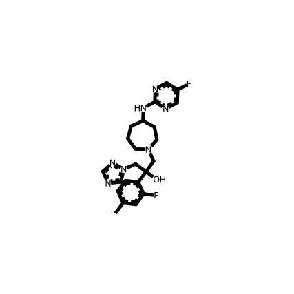 Cc1ccc(C(O)(CN2CCCC(Nc3ncc(F)cn3)CC2)Cn2cncn2)c(F)c1